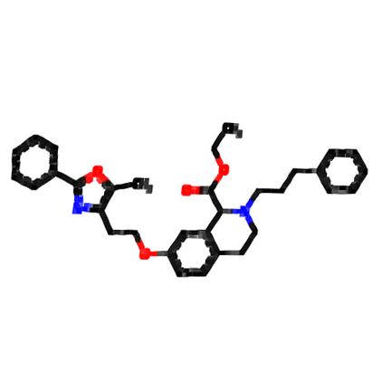 CCOC(=O)C1c2cc(OCCc3nc(-c4ccccc4)oc3C)ccc2CCN1CCCc1ccccc1